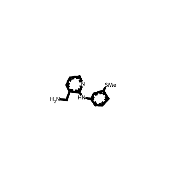 CSc1cccc(Nc2ncccc2CN)c1